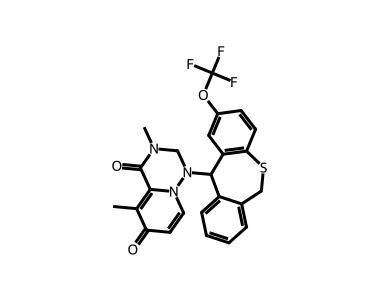 Cc1c2n(ccc1=O)N(C1c3ccccc3CSc3ccc(OC(F)(F)F)cc31)CN(C)C2=O